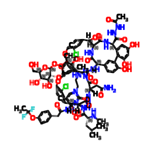 CN[C@H](CC(C)C)C(=O)N[C@H]1C(=O)N[C@@H](CC(N)=O)C(=O)NC2C(=O)N[C@H]3C(=O)N[C@H](C(=O)N[C@@H](C(=O)NNC(C)=O)c4cc(O)cc(O)c4-c4cc3ccc4O)[C@H](O)c3ccc(c(Cl)c3)Oc3cc2cc(c3O[C@@H]2O[C@H](CO)[C@@H](O)[C@H](O)[C@H]2O[C@H]2C[C@](C)(NCCn3ccc(NC(=O)Cc4ccc(OC(C)(F)F)cc4)nc3=O)[C@H](O)[C@H](C)O2)Oc2ccc(cc2Cl)[C@H]1O